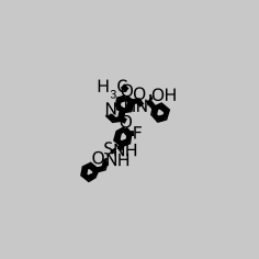 COc1cc2nccc(Oc3ccc(NC(=S)NC(=O)Cc4ccccc4)cc3F)c2cc1C(=O)N[C@H](CO)c1ccccc1